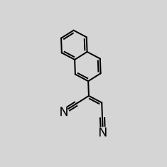 N#C/C=C(\C#N)c1ccc2ccccc2c1